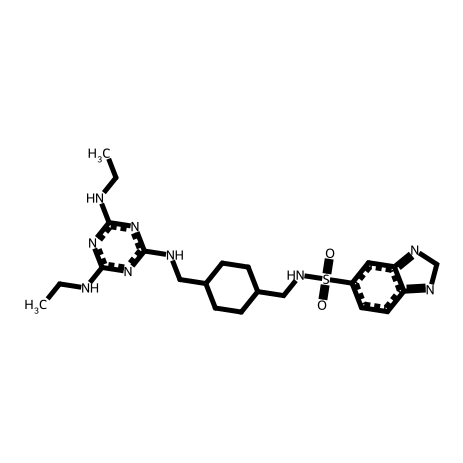 CCNc1nc(NCC)nc(NCC2CCC(CNS(=O)(=O)c3ccc4c(c3)=NCN=4)CC2)n1